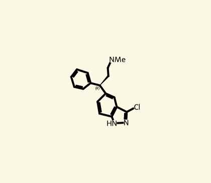 CNCC[C@H](c1ccccc1)c1ccc2[nH]nc(Cl)c2c1